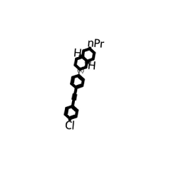 CCCC1CC[C@@H]2C[C@H](c3ccc(C#Cc4ccc(Cl)cc4)cc3)CC[C@@H]2C1